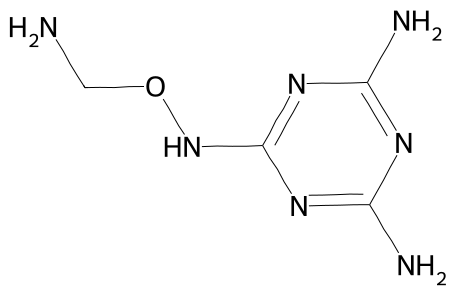 NCONc1nc(N)nc(N)n1